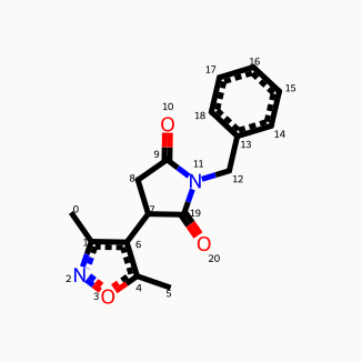 Cc1noc(C)c1C1CC(=O)N(Cc2ccccc2)C1=O